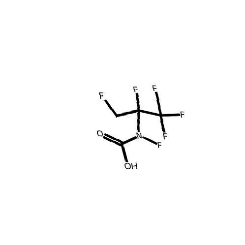 O=C(O)N(F)C(F)(CF)C(F)(F)F